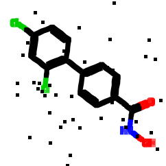 O=C(NO)c1ccc(-c2ccc(Cl)cc2Cl)cc1